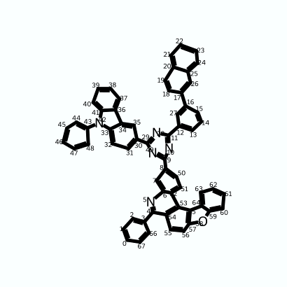 c1ccc(-c2nc3cc(-c4nc(-c5cccc(-c6ccc7ccccc7c6)c5)nc(-c5ccc6c(c5)c5ccccc5n6-c5ccccc5)n4)ccc3c3c2ccc2oc4ccccc4c23)cc1